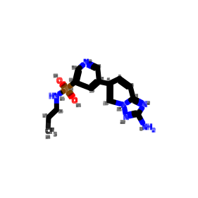 Nc1nc2ccc(-c3cncc(S(=O)(=O)NCCC(F)(F)F)c3)cn2n1